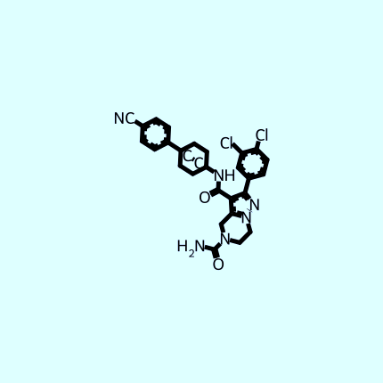 N#Cc1ccc(C23CCC(NC(=O)c4c(-c5ccc(Cl)c(Cl)c5)nn5c4CN(C(N)=O)CC5)(CC2)CC3)cc1